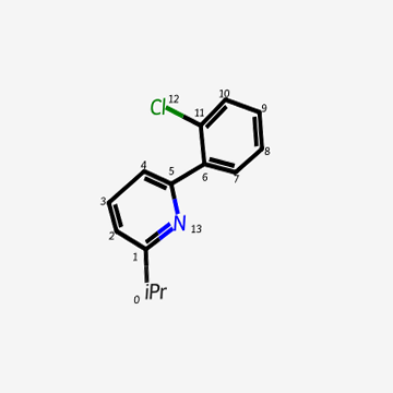 CC(C)c1cccc(-c2ccccc2Cl)n1